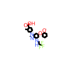 COc1ccccc1Oc1cc(NCCC(F)(F)F)c2ncn(-c3ccc(C(=O)O)c(C)c3)c2c1